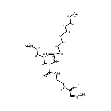 C/C=C\C(=O)OCCNC(=O)C(CCCCNC)NC(=O)CCCCCCCCC(C)=O